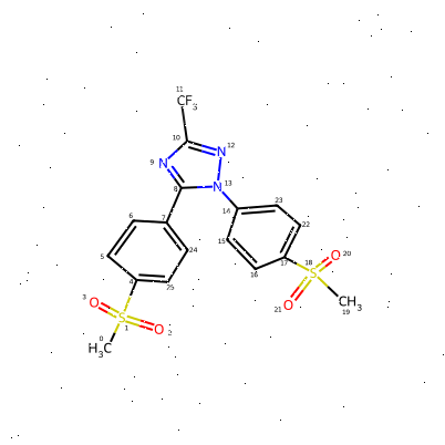 CS(=O)(=O)c1ccc(-c2nc(C(F)(F)F)nn2-c2ccc(S(C)(=O)=O)cc2)cc1